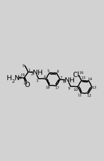 CC(NCc1ccc(NCc2ccccc2Cl)cc1)C(N)=O